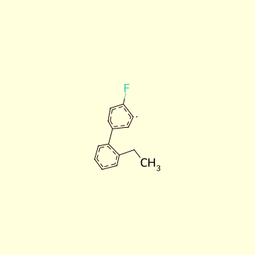 CCc1ccccc1-c1c[c]c(F)cc1